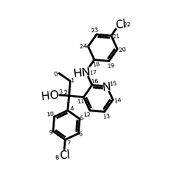 CCC(O)(c1ccc(Cl)cc1)c1cccnc1NC1C=CC(Cl)=CC1